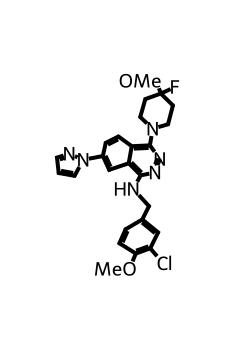 COc1ccc(CNc2nnc(N3CCC(F)(OC)CC3)c3ccc(-n4cccn4)cc23)cc1Cl